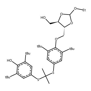 CCOC1O[C@H](CO)[C@@H](COc2c(C(C)(C)C)cc(SC(C)(C)Sc3cc(C(C)(C)C)c(O)c(C(C)(C)C)c3)cc2C(C)(C)C)O1